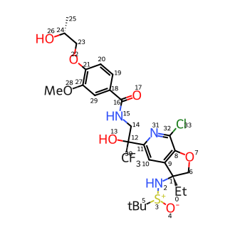 CC[C@]1(N[S+]([O-])C(C)(C)C)COc2c1cc(C(O)(CNC(=O)c1ccc(OC[C@@H](C)O)c(OC)c1)C(F)(F)F)nc2Cl